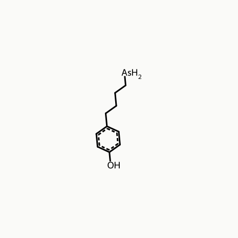 Oc1ccc(CCCC[AsH2])cc1